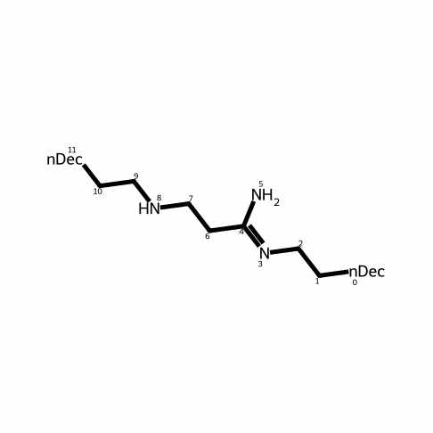 CCCCCCCCCCCCN=C(N)CCNCCCCCCCCCCCC